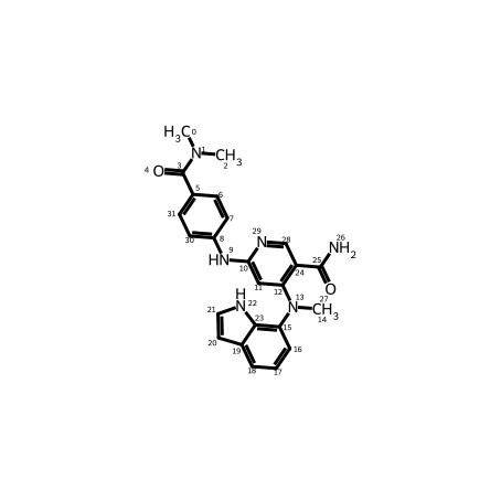 CN(C)C(=O)c1ccc(Nc2cc(N(C)c3cccc4cc[nH]c34)c(C(N)=O)cn2)cc1